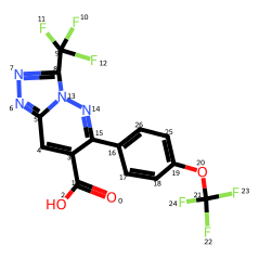 O=C(O)c1cc2nnc(C(F)(F)F)n2nc1-c1ccc(OC(F)(F)F)cc1